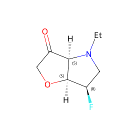 CCN1C[C@@H](F)[C@H]2OCC(=O)[C@H]21